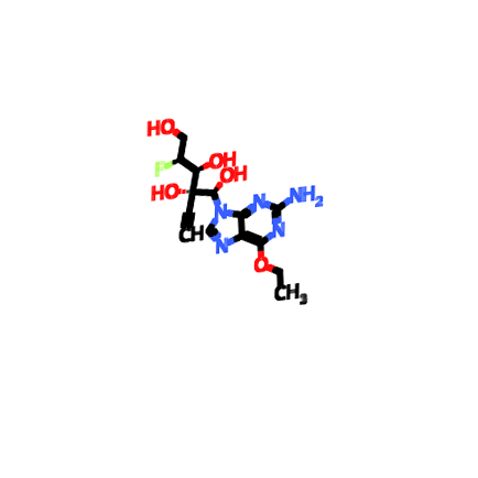 C#C[C@@](O)([C@H](O)[C@@H](F)CO)[C@@H](O)n1cnc2c(OCC)nc(N)nc21